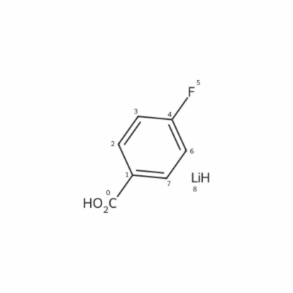 O=C(O)c1ccc(F)cc1.[LiH]